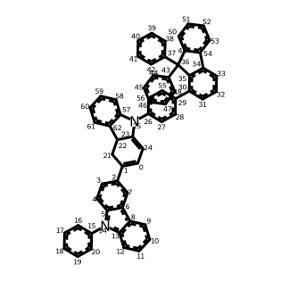 C1=C(c2ccc3c(c2)c2ccccc2n3-c2ccccc2)CC2C(=C1)N(c1ccc(-c3cccc4c3C(c3ccccc3)(c3ccccc3)c3ccccc3-4)cc1)c1ccccc12